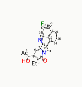 CCc1c([C@H](O)C(C)=O)cc2n(c1=O)Cc1c-2nc2cc(F)c(C)c3c2c1CCC3